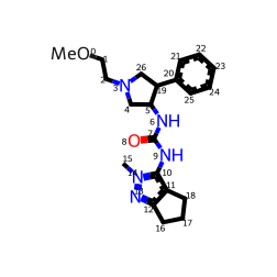 COCCN1CC(NC(=O)Nc2c3c(nn2C)CCC3)C(c2ccccc2)C1